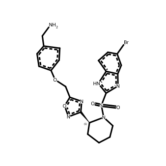 NCc1ccc(OCc2nc([C@@H]3CCCCN3S(=O)(=O)c3nc4cc(Br)ccc4[nH]3)no2)cc1